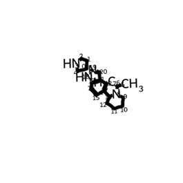 C1CCNC1.CC(C)N1CCCCC1c1ccc2[nH]ncc2c1